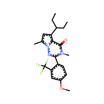 CCC(CC)c1cc(C)n2nc(-c3ccc(OC)cc3C(F)(F)F)n(C)c(=O)c12